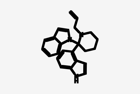 C=CCN1CCCCC1(c1cccc2[nH]ccc12)n1ccc2ccccc21